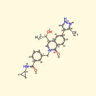 CC(O)c1cn(Cc2cccc(C(=O)NC3CC3)c2)c(=O)c2ccc(-c3c[nH]nc3C(F)(F)F)cc12